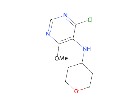 COc1ncnc(Cl)c1NC1CCOCC1